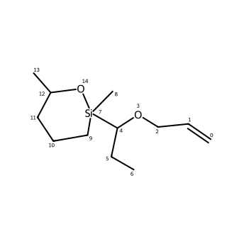 C=CCOC(CC)[Si]1(C)CCCC(C)O1